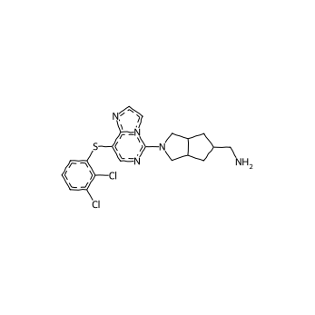 NCC1CC2CN(c3ncc(Sc4cccc(Cl)c4Cl)c4nccn34)CC2C1